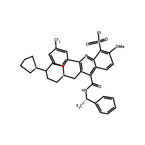 CCS(=O)(=O)c1c(OC)ccc2c(C(=O)N[C@H](c3ccccc3)C(F)(F)F)c(CN3CCC(N4CCCC4)CC3)c(-c3cccc(C(F)(F)F)c3)nc12